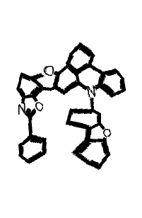 c1ccc(-c2nc3ccc4oc5ccc(N(c6ccc7c(c6)oc6ccccc67)c6ccccc6-c6ccccc6)cc5c4c3o2)cc1